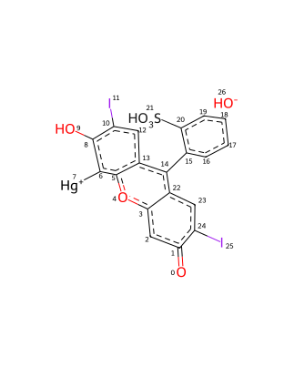 O=c1cc2oc3[c]([Hg+])c(O)c(I)cc3c(-c3ccccc3S(=O)(=O)O)c-2cc1I.[OH-]